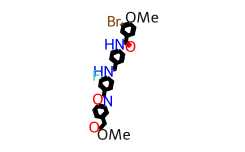 COC(=O)Cc1ccc2oc(-c3ccc(NCc4ccc(NC(=O)c5ccc(OC)c(Br)c5)cc4)c(F)c3)nc2c1